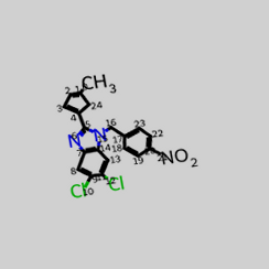 CC1=CC=C(c2nc3cc(Cl)c(Cl)cc3n2Cc2ccc([N+](=O)[O-])cc2)C1